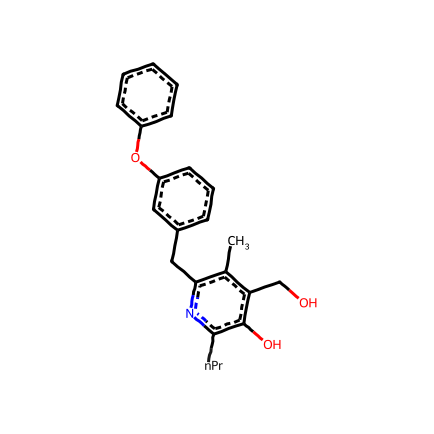 CCCc1nc(Cc2cccc(Oc3ccccc3)c2)c(C)c(CO)c1O